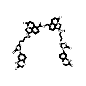 O=C1CSc2ccc(N3C[C@H](CCCN[C@H]4Cn5c(=O)ccc6c(COC(=O)c7ccc8c9c7ccc(=O)n9C[C@@H]8NCCC[C@H]7CN(c8ccc9c(c8)NC(=O)CS9)C(=O)O7)ccc4c65)OC3=O)cc2N1